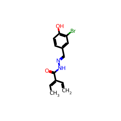 C=C/C(=C\C)C(=O)N/N=C/c1ccc(O)c(Br)c1